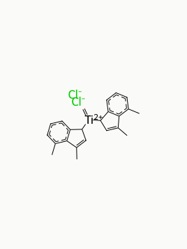 [CH2]=[Ti+2]([CH]1C=C(C)c2c(C)cccc21)[CH]1C=C(C)c2c(C)cccc21.[Cl-].[Cl-]